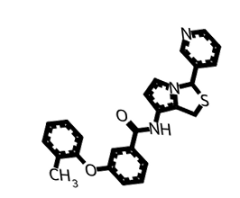 Cc1ccccc1Oc1cccc(C(=O)Nc2ccn3c2CSC3c2cccnc2)c1